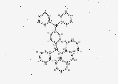 c1ccc(N(c2ccccc2)c2ccc(N(c3ccccc3)c3c4ccccc4cc4ccccc34)cc2)cc1